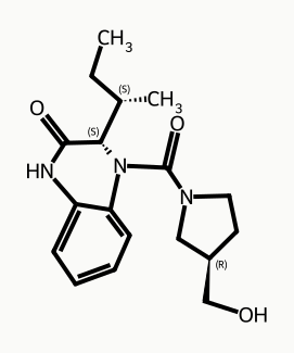 CC[C@H](C)[C@H]1C(=O)Nc2ccccc2N1C(=O)N1CC[C@@H](CO)C1